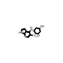 CCOC(=O)c1cnc2[nH]ccc2c1N[C@H]1CCC[C@@H](O)C1